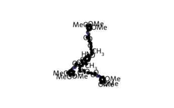 COc1cc(/C=C/C(=O)OCCOCCN(C)CC(Cc2c(C)c3ccc(NC(=O)N(C)CCOCCOC(=O)/C=C/c4cc(OC)c(OC)c(OC)c4)cc3oc2=O)OC(=O)/C=C/c2cc(OC)c(OC)c(OC)c2)cc(OC)c1OC